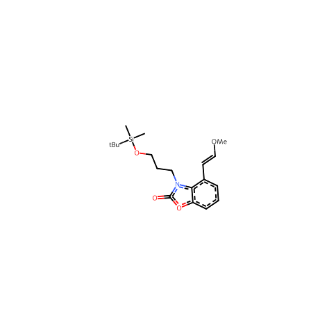 CO/C=C/c1cccc2oc(=O)n(CCCO[Si](C)(C)C(C)(C)C)c12